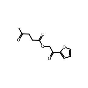 CC(=O)CCC(=O)OCC(=O)c1ccco1